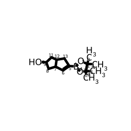 CC1(C)OB(C2=CC3CC(O)CC3C2)OC1(C)C